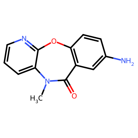 CN1C(=O)c2cc(N)ccc2Oc2ncccc21